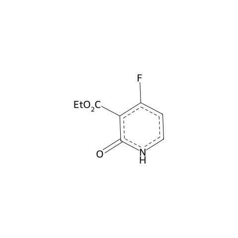 CCOC(=O)c1c(F)cc[nH]c1=O